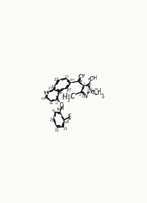 Cc1nn(C)c(O)c1C(=O)c1ccc2nccc(Oc3ccccc3F)c2c1